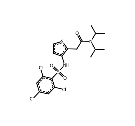 CC(C)N(C(=O)Cc1sccc1NS(=O)(=O)c1c(Cl)cc(Cl)cc1Cl)C(C)C